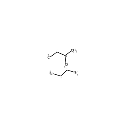 BrCCBr.CC(Cl)CCl